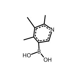 Cc1ncc(B(O)O)c(C)c1C